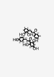 O=C(C=Cc1cccc(O)c1O)c1ccccc1.O=C(CCc1ccc(O)cc1)c1c(O)cc(O)cc1O